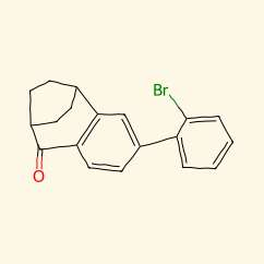 O=C1c2ccc(-c3ccccc3Br)cc2C2CCC1CC2